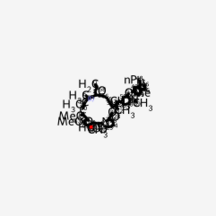 C=CCC1/C=C(\C)CC(C)CC(OC)C2OC(O)(C(=O)C(=O)N3CCCCC3C(=O)OC(C(C)=CC3CCC(N(C)c4ccc5c(ccn5CCC)c4)C(OC)C3)C(C)CCC1=O)C(C)CC2OC